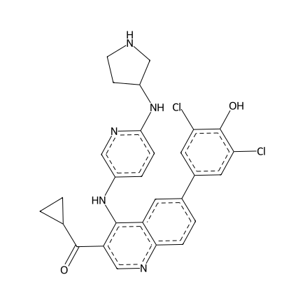 O=C(c1cnc2ccc(-c3cc(Cl)c(O)c(Cl)c3)cc2c1Nc1ccc(NC2CCNC2)nc1)C1CC1